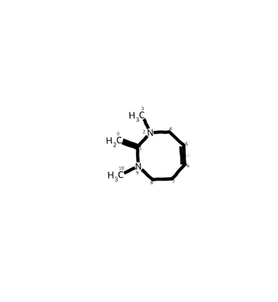 C=C1N(C)C/C=C\CCN1C